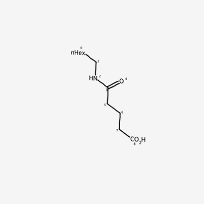 CCCCCCCNC(=O)CCCC(=O)O